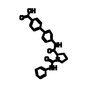 O=C(O)c1ccc(-c2ccc(NC(=O)C3CCCN3C(=O)Nc3ccccc3)cc2)cc1